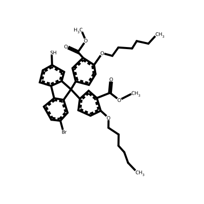 CCCCCCOc1ccc(C2(c3ccc(OCCCCCC)c(C(=O)OC)c3)c3cc(S)ccc3-c3ccc(Br)cc32)cc1C(=O)OC